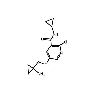 NC1(COc2cnc(Cl)c(C(=O)NC3CC3)c2)CC1